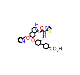 O=C(C[C@H]1NCCC2CC(OCc3ccccn3)C(OC3CCC(C4CCC(C(=O)O)CC4)C(F)C3)CC21)Nc1nccs1